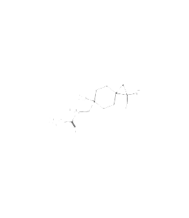 CC(=O)NCC1(O)CCC2(CC1)CC2(F)F